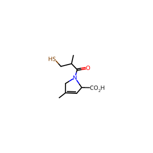 CC1=CC(C(=O)O)N(C(=O)C(C)CS)C1